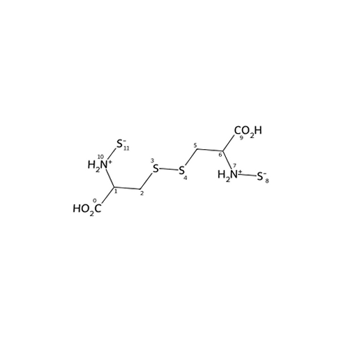 O=C(O)C(CSSCC([NH2+][S-])C(=O)O)[NH2+][S-]